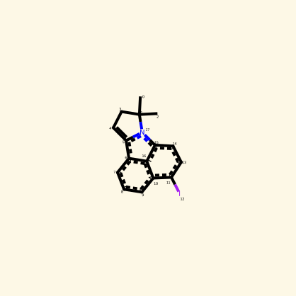 CC1(C)CC=c2c3cccc4c(I)ccc(c43)n21